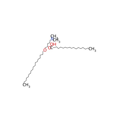 CCCCCCCCCCCCCCCCCCOCC(CC(O)CN(C)C)OCCCCCCCCCCCCCCCCCC